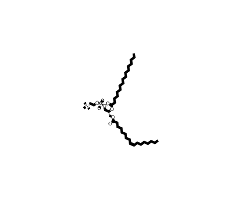 CCCCCCC/C=C\CCCCCCCC(=O)OC[C@H](COP(=O)([O-])OCC[N+](C)(C)C)OC(=O)CCCCCCCCCCCCCCCC